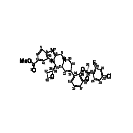 COC(=O)c1ccc2nc(CN3CC=C(c4cccc5c4O[C@@](C)(c4ccc(Cl)cc4F)O5)CC3)n(C[C@@H]3CCO3)c2c1